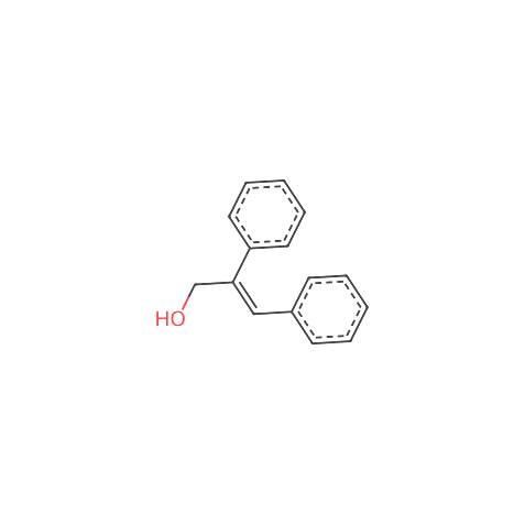 OC/C(=C/c1ccccc1)c1ccccc1